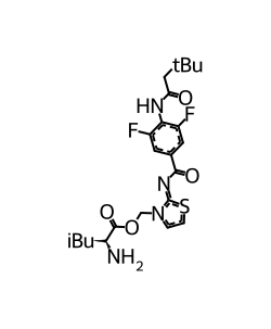 CC[C@H](C)[C@H](N)C(=O)OCn1ccsc1=NC(=O)c1cc(F)c(NC(=O)CC(C)(C)C)c(F)c1